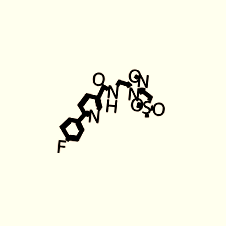 CS(=O)(=O)Cc1noc(CNC(=O)c2ccc(-c3ccc(F)cc3)nc2)n1